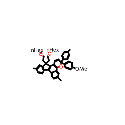 CCCCCCOCCC1(CCOCCCCCC)c2cc(C)ccc2-c2c1c1c(c3cc(C)ccc23)OC(c2ccc(C)cc2)(c2ccc(OC)cc2)C=C1